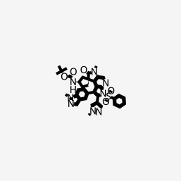 CN1C(=O)[C@@]2(CC[C@H](NC(=O)OC(C)(C)C)C2)c2c1cnc1c2c(-c2ccc3c(cnn3C)c2)c(-c2cnn(C)c2)n1S(=O)(=O)c1ccccc1